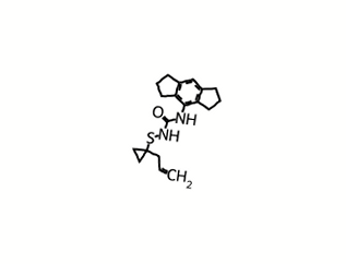 C=CCC1(SNC(=O)Nc2c3c(cc4c2CCC4)CCC3)CC1